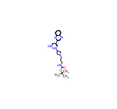 CC(C)(C)OC(=O)NCCCN1CC(N/C=C(\C=N)c2cnc3ccccc3n2)C1